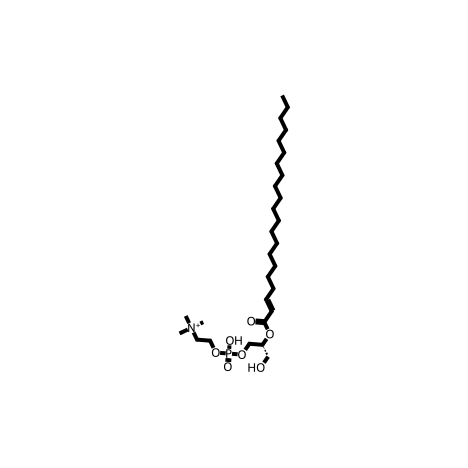 CCCCCCCCCCCCCCCCCCC=CC(=O)O[C@H](CO)COP(=O)(O)OCC[N+](C)(C)C